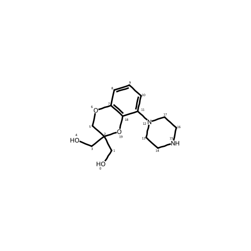 OCC1(CO)COc2cccc(N3CCNCC3)c2O1